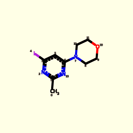 Cc1nc(I)cc(N2[CH]COCC2)n1